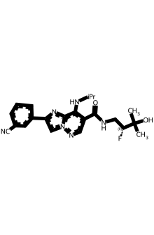 CC(C)Nc1c(C(=O)NC[C@@H](F)C(C)(C)O)cnn2cc(-c3cccc(C#N)c3)nc12